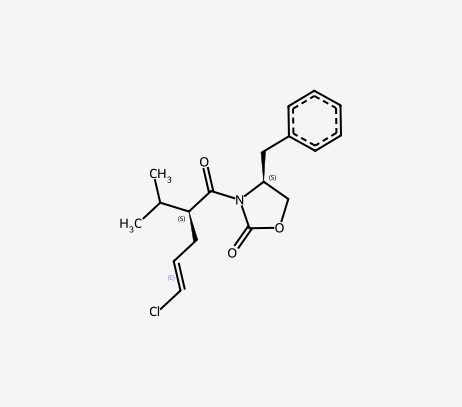 CC(C)[C@H](C/C=C/Cl)C(=O)N1C(=O)OC[C@@H]1Cc1ccccc1